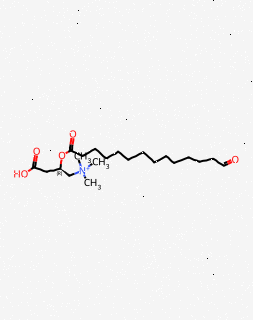 C[N+](C)(C)C[C@@H](CC(=O)O)OC(=O)CCCCCCCCCCCCC=O